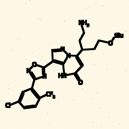 CC(C)(C)OCCC(CCN)c1cc(=O)[nH]c2c(-c3nc(-c4cc(Cl)ccc4C(F)(F)F)no3)cnn12